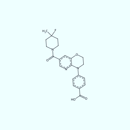 CC1(F)CCN(C(=O)c2cnc3c(c2)OCCN3c2ccc(C(=O)O)cc2)CC1